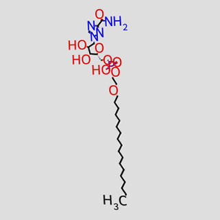 CCCCCCCCCCCCCCCCCCOCCOP(=O)(O)OC[C@H]1O[C@@H](n2cnc(C(N)=O)n2)C(O)[C@H]1O